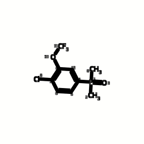 CP(C)(=O)c1ccc(Cl)c(OC(F)(F)F)c1